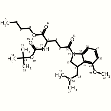 CCCCOC(=O)C(CCC(=O)N1CC(CN(C)C)c2c(OC)cccc21)NC(=O)OC(C)(C)C